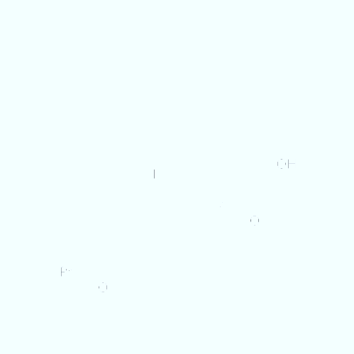 Cc1cc(O)c(C(=O)c2ccc(OC(C)C)cc2)c(F)c1